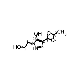 CC1OC(c2cnn(CCO)c2O)O1